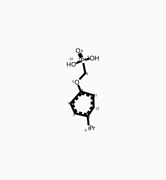 CC(C)c1ccc(OCP(=O)(O)O)cc1